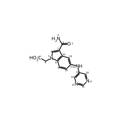 NC(=O)c1cn(CC(=O)O)c2ccc(Nc3cncnc3)cc12